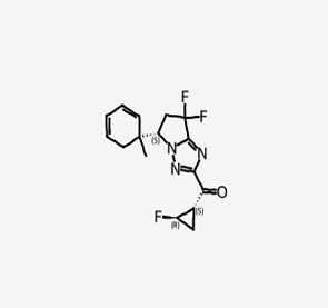 CC1([C@@H]2CC(F)(F)c3nc(C(=O)[C@@H]4C[C@H]4F)nn32)C=CC=CC1